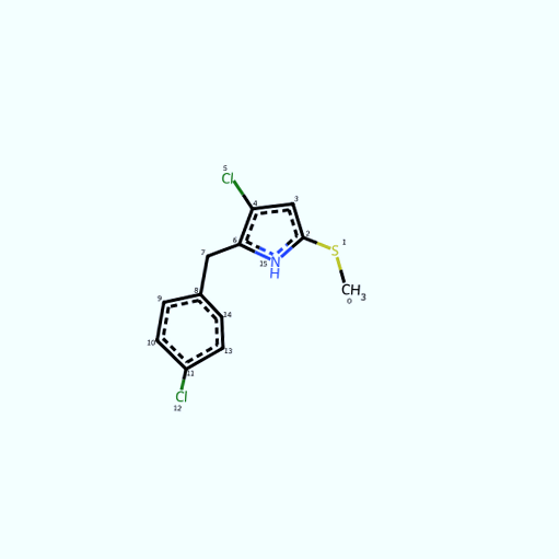 CSc1cc(Cl)c(Cc2ccc(Cl)cc2)[nH]1